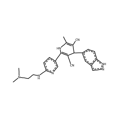 CC1=C(C#N)C(c2ccc3[nH]ncc3c2)C(C#N)=C(c2ccc(NCCN(C)C)nc2)N1